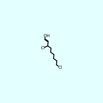 OC=CC(Cl)CCCCCCCl